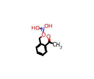 CC(=O)c1ccccc1CON(O)O